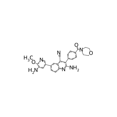 COc1ncc(-c2ccc3nc(N)c(-c4ccc(C(=O)N5CCOCC5)cc4)c(C#N)c3c2)cc1N